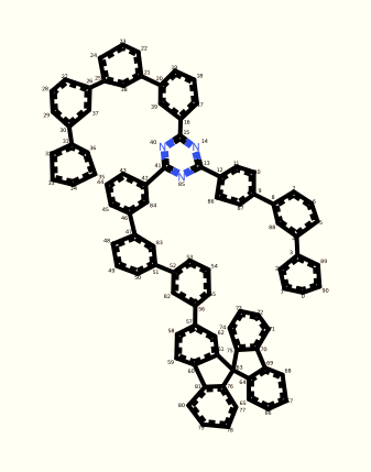 c1ccc(-c2cccc(-c3ccc(-c4nc(-c5cccc(-c6cccc(-c7cccc(-c8ccccc8)c7)c6)c5)nc(-c5cccc(-c6cccc(-c7cccc(-c8ccc9c(c8)C8(c%10ccccc%10-c%10ccccc%108)c8ccccc8-9)c7)c6)c5)n4)cc3)c2)cc1